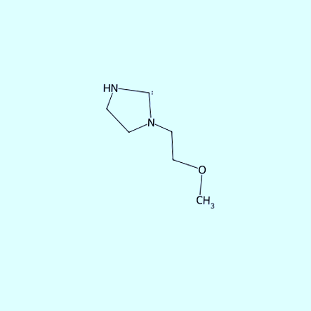 COCCN1[C]NCC1